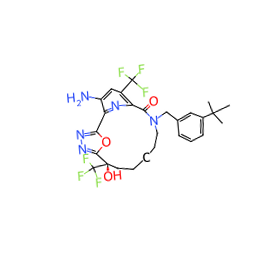 CC(C)(C)c1cccc(CN2CCCCC[C@](O)(C(F)(F)F)c3nnc(o3)-c3nc(c(C(F)(F)F)cc3N)C2=O)c1